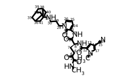 CNC(=O)C(=O)CC[C@H](NC(=O)c1cc(C#N)cn1C)C(=O)Nc1cccn(CCCNC23CC4CC(CC(C4)C2)C3)c1=O